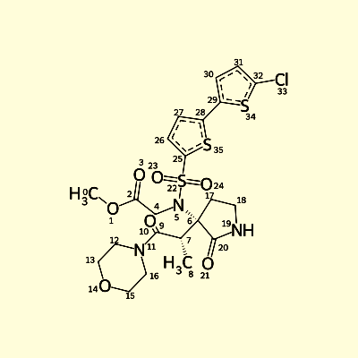 COC(=O)CN([C@]1([C@H](C)C(=O)N2CCOCC2)CCNC1=O)S(=O)(=O)c1ccc(-c2ccc(Cl)s2)s1